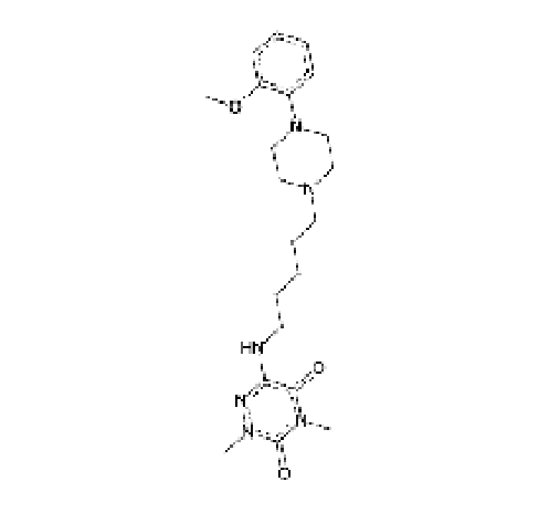 COc1ccccc1N1CCN(CCCCCNc2nn(C)c(=O)n(C)c2=O)CC1